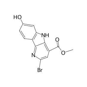 COC(=O)c1cc(Br)nc2c1[nH]c1cc(O)ccc12